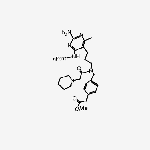 CCCCCNc1nc(N)nc(C)c1CCCN(Cc1ccc(CC(=O)OC)cc1)C(=O)CN1CCCCC1